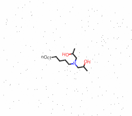 CCCCCCCCCCCCN(CC(C)O)CC(C)O